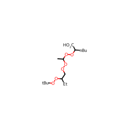 CCCCC(OOC(C)OOCC(CC)OOC(C)(C)C)C(=O)O